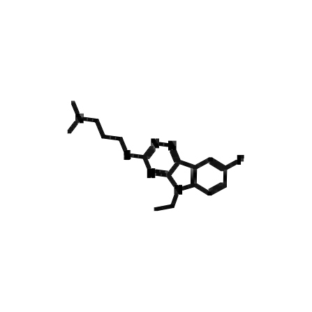 CCn1c2ccc(F)cc2c2nnc(SCCCN(C)C)nc21